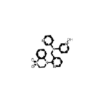 O=S1(=O)CCN(c2ncccc2CN(c2cccnc2)c2ccc[n+](O)c2)c2ccccc21